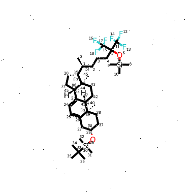 C[C@@H](CCCC(O[Si](C)(C)C)(C(F)(F)F)C(F)(F)F)[C@H]1CC[C@H]2C3=CC=C4C[C@@H](O[Si](C)(C)C(C)(C)C)CC[C@]4(C)[C@H]3CC[C@]12C